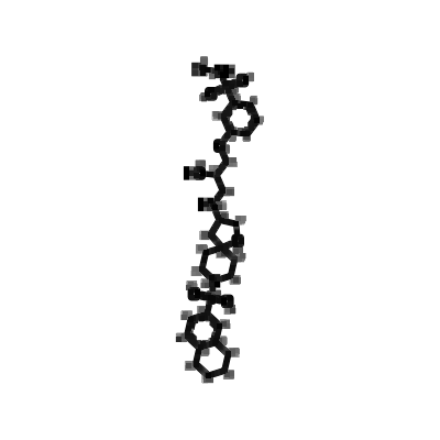 CCNS(=O)(=O)c1cccc(OCC(O)CNC2COC3(CCN(S(=O)(=O)c4ccc5c(c4)CCCC5)CC3)C2)c1